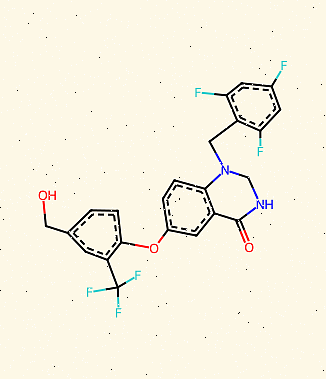 O=C1NCN(Cc2c(F)cc(F)cc2F)c2ccc(Oc3ccc(CO)cc3C(F)(F)F)cc21